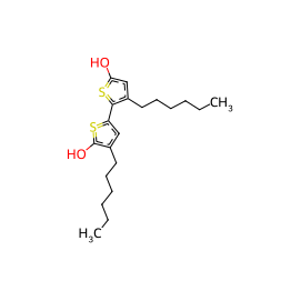 CCCCCCc1cc(-c2sc(O)cc2CCCCCC)sc1O